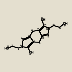 OCCn1nc2c(c1O)Cc1nn(CCO)c(O)c1C2